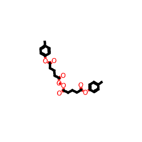 Cc1ccc(OC(=O)CCCC(=O)OOC(=O)CCCC(=O)Oc2ccc(C)cc2)cc1